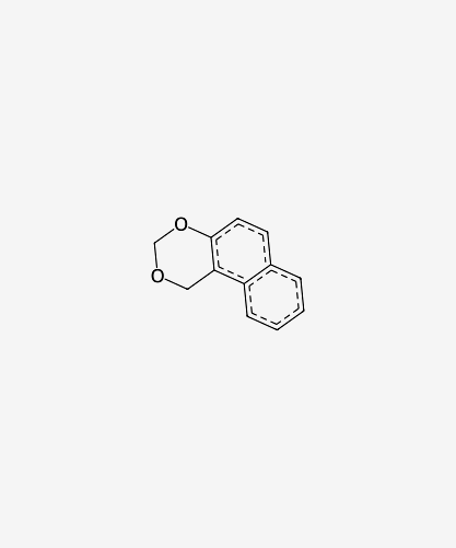 c1ccc2c3c(ccc2c1)OCOC3